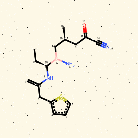 C=C(Cc1cccs1)N[C@@H](CC)B(N)C[C@@H](C)CC(=O)C#N